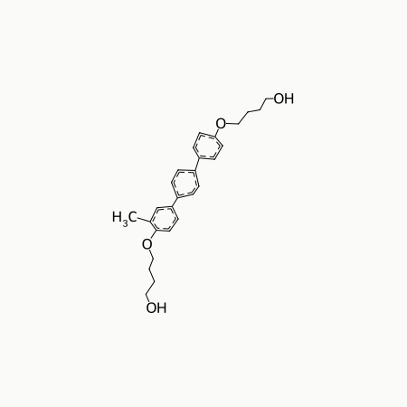 Cc1cc(-c2ccc(-c3ccc(OCCCCO)cc3)cc2)ccc1OCCCCO